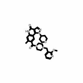 COc1ncccc1CN1CCN(C(=O)c2cc3c(cc2C)[nH]c(=O)c2cnn(C4CCOCC4)c23)CC1